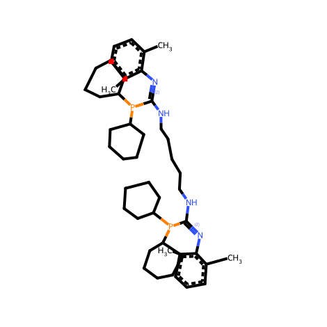 Cc1cccc(C)c1/N=C(/NCCCCCN/C(=N/c1c(C)cccc1C)P(C1CCCCC1)C1CCCCC1)P(C1CCCCC1)C1CCCCC1